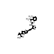 Cc1ccccc1C(C)OC(=O)Nc1ocnc1C#Cc1cc2sc(C3(C(=O)O)CC3)cc2s1